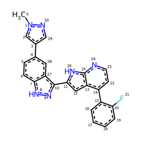 Cn1cc(-c2ccc3[nH]nc(-c4cc5c(-c6ccccc6F)ccnc5[nH]4)c3c2)cn1